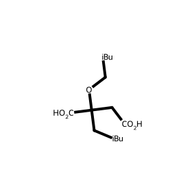 CCC(C)COC(CC(=O)O)(CC(C)CC)C(=O)O